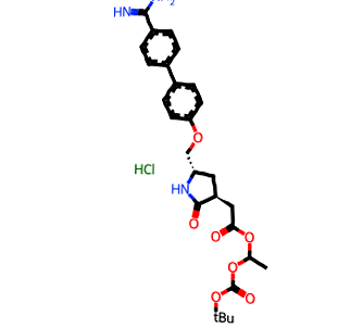 CC(OC(=O)C[C@@H]1C[C@@H](COc2ccc(-c3ccc(C(=N)N)cc3)cc2)NC1=O)OC(=O)OC(C)(C)C.Cl